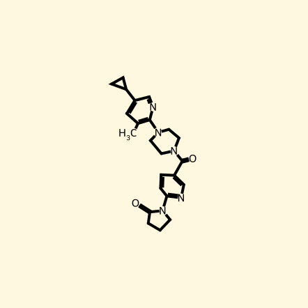 Cc1cc(C2CC2)cnc1N1CCN(C(=O)c2ccc(N3CCCC3=O)nc2)CC1